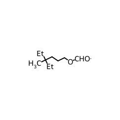 CCC(C)(CC)CCCO[C]=O